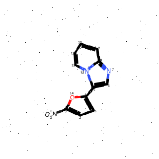 O=[N+]([O-])c1ccc(-c2cnc3ccccn23)o1